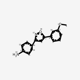 COc1cccc(-c2cc(-c3ccc(N)cc3)no2)c1